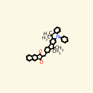 CC1(C)c2cc(C=C3C(=O)c4cc5ccccc5cc4C3=O)ccc2-c2cc3c(cc21)N(c1ccccc1)c1ccccc1C3(C)C